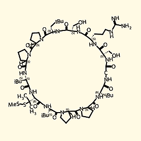 CC[C@H](C)[C@@H]1NC(=O)[C@@H]2CCCN2C(=O)[C@@H]2CCCN2C(=O)[C@H](CC(C)(C)C)NC(=O)[C@H](CO)NC(=O)[C@H](CCCNC(=N)N)NC(=O)[C@H](CO)NC(=O)CNC(=O)[C@@H]([C@@H](C)CC)NC(=O)[C@@H]2CCCN2C(=O)[C@@H]2CCCN2C(=O)[C@H]([C@@H](C)CC)NC(=O)[C@H](C(C)(C)SSC)NC1=O